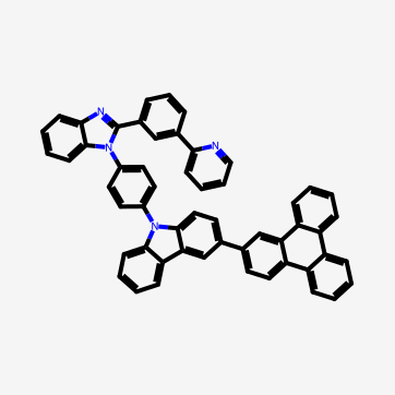 c1ccc(-c2cccc(-c3nc4ccccc4n3-c3ccc(-n4c5ccccc5c5cc(-c6ccc7c8ccccc8c8ccccc8c7c6)ccc54)cc3)c2)nc1